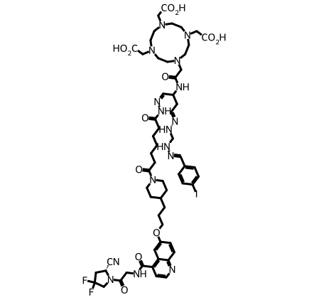 N#C[C@H]1CC(F)(F)CN1C(=O)CNC(=O)c1ccnc2ccc(OCCCC3CCN(C(=O)CCCCCC(=O)N/N=C\C(C/C=N/NCN/N=C/c4ccc(I)cc4)NC(=O)CN4CCN(CC(=O)O)CCN(CC(=O)O)CCN(CC(=O)O)CC4)CC3)cc12